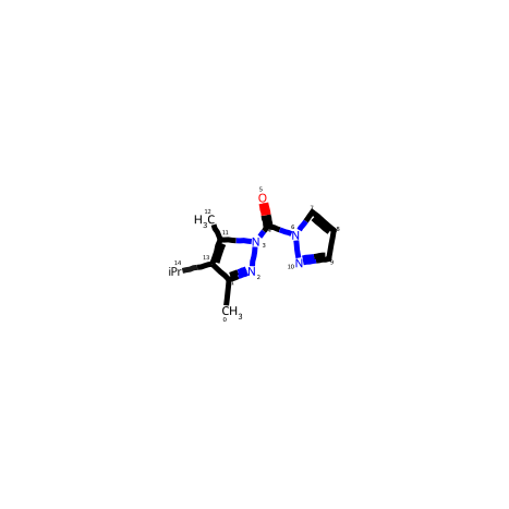 Cc1nn(C(=O)n2cccn2)c(C)c1C(C)C